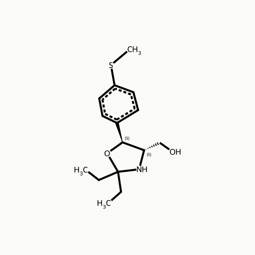 CCC1(CC)N[C@@H](CO)[C@H](c2ccc(SC)cc2)O1